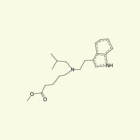 COC(=O)CCCCN(CCc1c[nH]c2ccccc12)CC(C)C